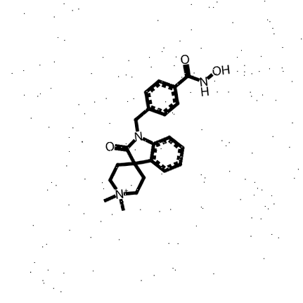 C[N+]1(C)CCC2(CC1)C(=O)N(Cc1ccc(C(=O)NO)cc1)c1ccccc12